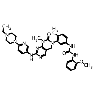 CCN1CCN(c2ccc(Nc3ncc4c(n3)N(C)C(=O)N(c3cc(NC(=O)Nc5ccccc5OC)ccc3C)C4)cn2)CC1